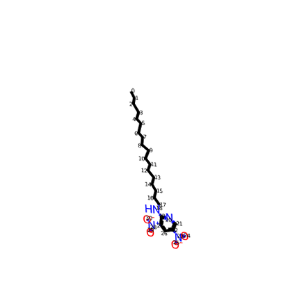 CCCCCCCCCCCCCCCCCCNc1ncc([N+](=O)[O-])cc1[N+](=O)[O-]